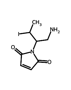 CC(I)C(CN)N1C(=O)C=CC1=O